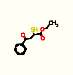 CCOC(=O)C(S)CC(=O)c1ccccc1